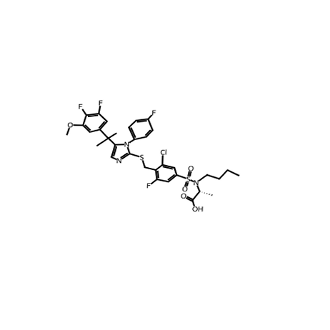 CCCCN([C@H](C)C(=O)O)S(=O)(=O)c1cc(F)c(CSc2ncc(C(C)(C)c3cc(F)c(F)c(OC)c3)n2-c2ccc(F)cc2)c(Cl)c1